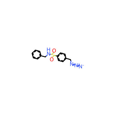 [N-]=[N+]=NCc1ccc(S(=O)(=O)NCc2ccccc2)cc1